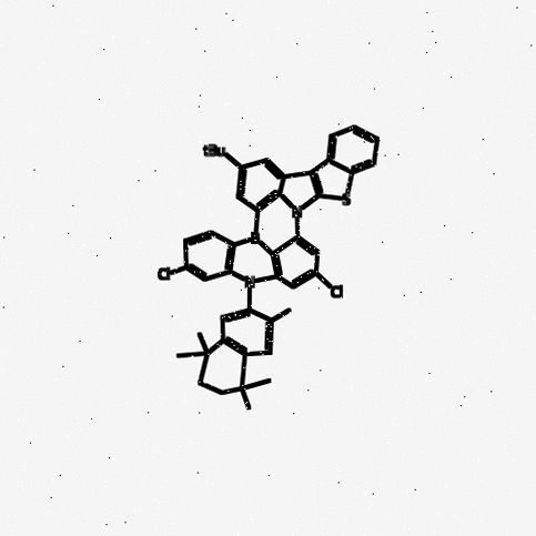 Cc1cc2c(cc1N1c3cc(Cl)ccc3B3c4c1cc(Cl)cc4-n1c4sc5ccccc5c4c4cc(C(C)(C)C)cc3c41)C(C)(C)CCC2(C)C